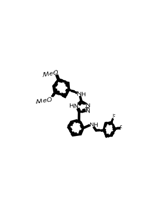 COc1cc(Nc2nnc(-c3ccccc3NCc3ccc(F)c(F)c3)[nH]2)cc(OC)c1